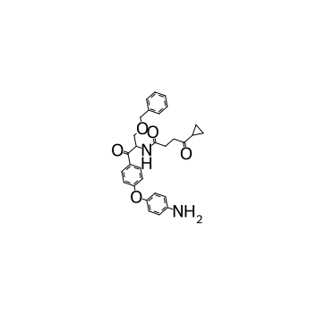 Nc1ccc(Oc2ccc(C(=O)C(COCc3ccccc3)NC(=O)CCC(=O)C3CC3)cc2)cc1